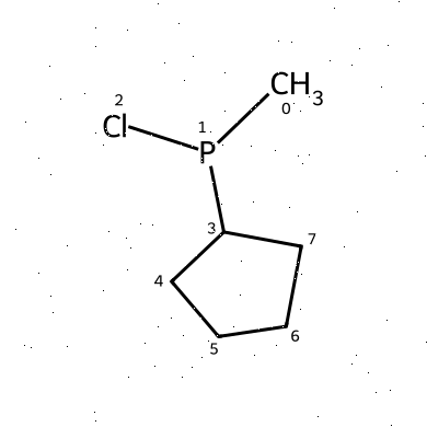 CP(Cl)C1CCCC1